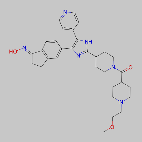 COCCN1CCC(C(=O)N2CCC(c3nc(-c4ccc5c(c4)CCC5=NO)c(-c4ccncc4)[nH]3)CC2)CC1